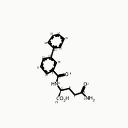 NC(=O)CC[C@H](NC(=O)c1cccc(-c2ccccc2)c1)C(=O)O